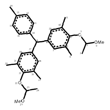 COC(C)Oc1c(C)cc(C(c2ccc(C)cc2)c2cc(C)c(OC(C)OC)c(C)c2)cc1C